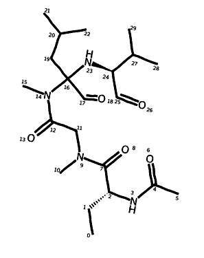 CC[C@@H](NC(C)=O)C(=O)N(C)CC(=O)N(C)C(C=O)(CC(C)C)N[C@H](C=O)C(C)C